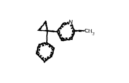 Cc1ccc(C2(c3ccccc3)CC2)cn1